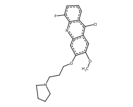 COc1cc2c(Cl)c3cccc(F)c3nc2cc1OCCCN1CCCC1